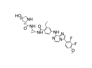 CCc1cc(Nc2nccn3c(-c4ccc(OC)c(F)c4F)cnc23)ccc1C(=O)NC1CC1NC(=O)[C@@H]1C[C@@H](O)CN1